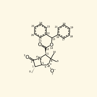 C[C@@H]1C(=O)N2C1[S@@+]([O-])C(C)(C)[C@@H]2C(=O)OC(c1ccccc1)c1ccccc1